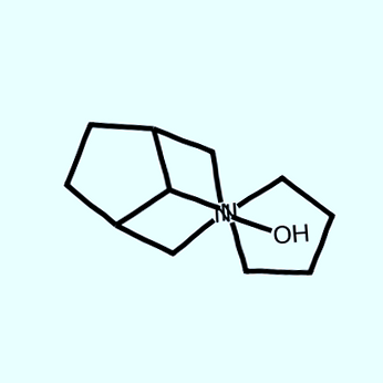 ON1CC2CCC(C1)C2N1CCCC1